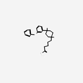 CSNC(=O)CCCCC1(C)CCC(O)(c2cccc(Oc3ccccc3)c2)CC1